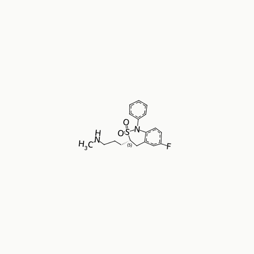 CNCCC[C@H]1Cc2cc(F)ccc2N(c2ccccc2)S1(=O)=O